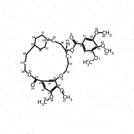 COc1cc(C(=O)O[C@@H]2CCCOc3cc(cc(OC)c3OC)C(=O)OCCCC3CCN(CC3)CC2)cc(OC)c1OC